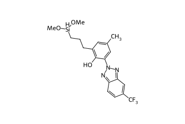 CO[SiH](CCCc1cc(C)cc(-n2nc3ccc(C(F)(F)F)cc3n2)c1O)OC